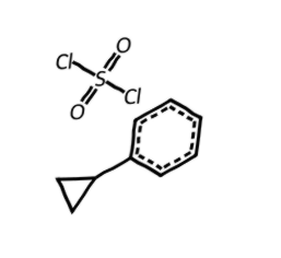 O=S(=O)(Cl)Cl.c1ccc(C2CC2)cc1